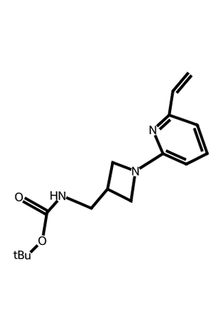 C=Cc1cccc(N2CC(CNC(=O)OC(C)(C)C)C2)n1